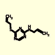 C=CCNc1ncnc(SCC=C)n1